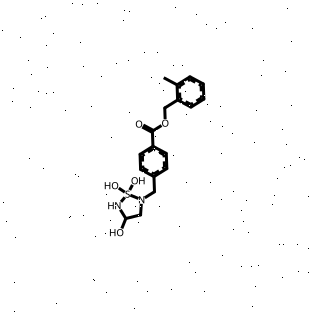 Cc1ccccc1COC(=O)c1ccc(CN2CC(O)NS2(O)O)cc1